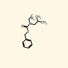 CCN(CC(C)C)C(=O)SCc1ccccc1